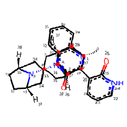 C[C@@H]1C[C@@H]2C[C@H](C1)C[C@@H](N1[C@@H]3CC[C@H]1C[C@@H](n1c(=O)c(-c4ccc[nH]c4=O)nc4ccccc41)C3)C2